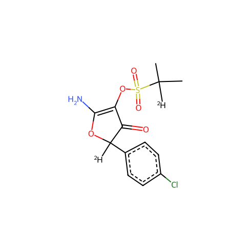 [2H]C1(c2ccc(Cl)cc2)OC(N)=C(OS(=O)(=O)C([2H])(C)C)C1=O